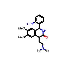 CCN(CC)CCC1C(=O)NC(c2ccccc2N)c2cc(OC)c(OC)cc21